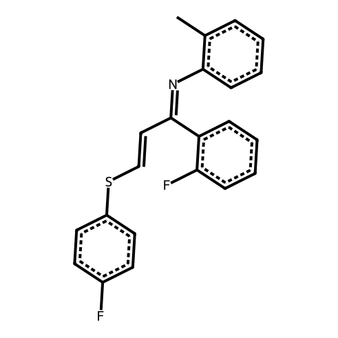 Cc1ccccc1N=C(C=CSc1ccc(F)cc1)c1ccccc1F